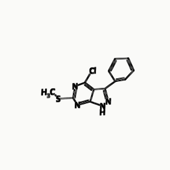 CSc1nc(Cl)c2c(-c3ccccc3)n[nH]c2n1